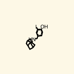 Oc1ccc(CNC23CC4CC(CC(C4)C2)C3)cc1I